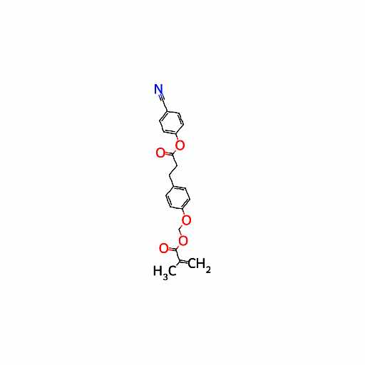 C=C(C)C(=O)OCOc1ccc(CCC(=O)Oc2ccc(C#N)cc2)cc1